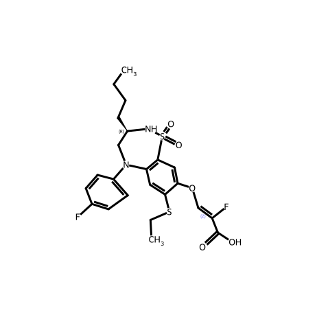 CCCC[C@@H]1CN(c2ccc(F)cc2)c2cc(SCC)c(O/C=C(\F)C(=O)O)cc2S(=O)(=O)N1